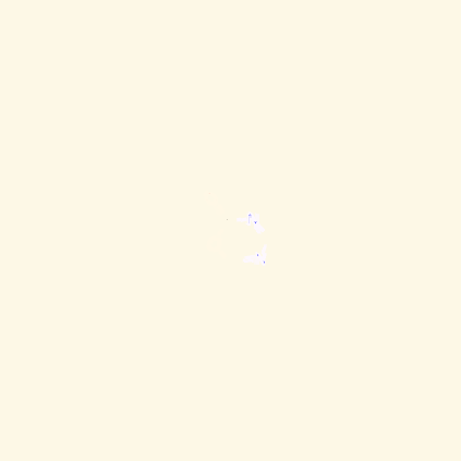 O=c1ncnco1